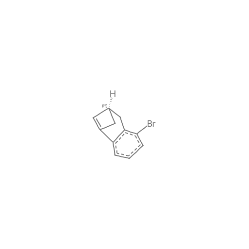 Brc1cccc2c1C[C@@H]1C=C2C1